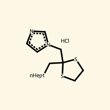 CCCCCCCCC1(Cn2ccnc2)SCCS1.Cl